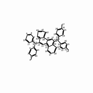 Cc1ccc(N(c2ccccc2)c2cc3c4ccccc4c(N(c4ccc(C)cc4)c4ccc(C)cc4)cc3c3ccccc23)cc1